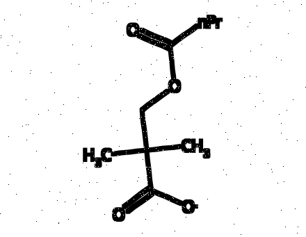 CCCC(=O)OCC(C)(C)C([O])=O